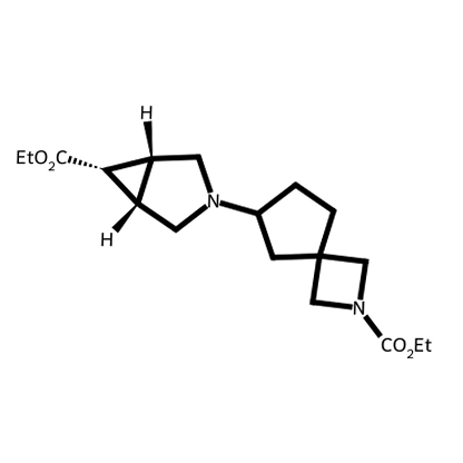 CCOC(=O)[C@@H]1[C@@H]2CN(C3CCC4(C3)CN(C(=O)OCC)C4)C[C@@H]21